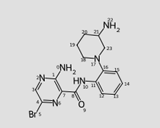 Nc1ncc(Br)nc1C(=O)Nc1ccccc1N1CCCC(N)C1